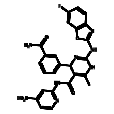 CC1=C(C(=O)Nc2cc(C(=O)O)ccn2)C(c2cccc(C(N)=O)c2)N=C(Nc2nc3ccc(F)cc3o2)N1